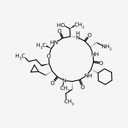 CCCC[C@H]1O[C@@H](C)NC(=O)[C@H]([C@H](C)O)NC(=O)[C@H](CN)NC(=O)[C@H](C2CCCCC2)NC(=O)[C@H](CCC)N(C)C(=O)[C@@H]1CC1CC1